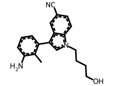 Cc1c(N)cccc1-c1cn(CCCCO)c2ccc(C#N)cc12